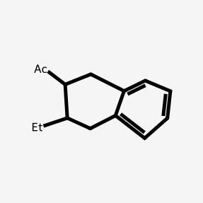 CCC1Cc2ccccc2CC1C(C)=O